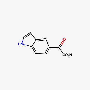 O=C(O)C(=O)c1ccc2[nH]ccc2c1